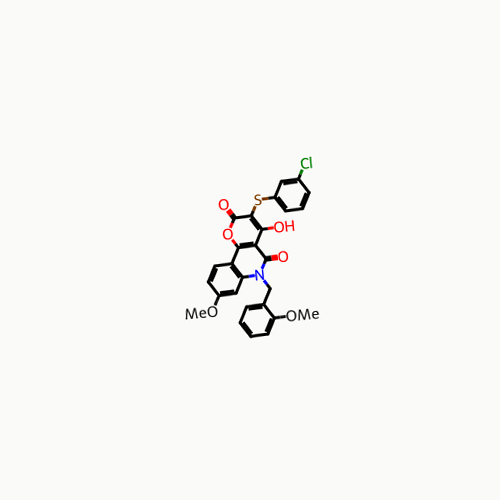 COc1ccc2c3oc(=O)c(Sc4cccc(Cl)c4)c(O)c3c(=O)n(Cc3ccccc3OC)c2c1